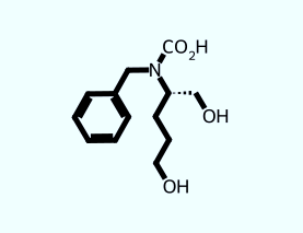 O=C(O)N(Cc1ccccc1)[C@H](CO)CCCO